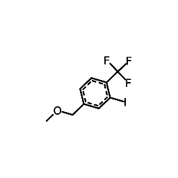 COCc1ccc(C(F)(F)F)c(I)c1